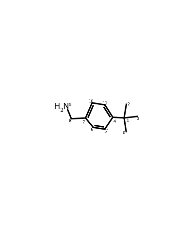 CC(C)(C)c1[c]cc(CN)cc1